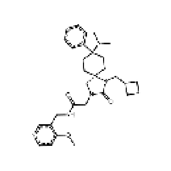 COc1ccncc1CNC(=O)CN1C[C@]2(CC[C@](c3ccccc3)(N(C)C)CC2)N(CC2CCC2)C1=O